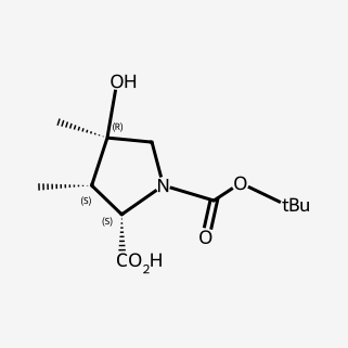 C[C@H]1[C@@H](C(=O)O)N(C(=O)OC(C)(C)C)C[C@]1(C)O